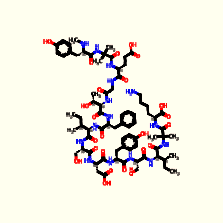 CC[C@H](C)[C@H](NC(=O)[C@H](Cc1ccccc1)NC(=O)[C@@H](NC(=O)CNC(=O)[C@H](CCC(=O)O)NC(=O)C(C)(C)NC(=O)[C@H](Cc1ccc(O)cc1)NC)[C@@H](C)O)C(=O)N[C@@H](CO)C(=O)N[C@@H](CC(=O)O)C(=O)N[C@@H](Cc1ccc(O)cc1)C(=O)N[C@@H](CO)C(=O)N[C@H](C(=O)NC(C)(C)C(=O)N[C@@H](CCCCN)C(=O)O)[C@@H](C)CC